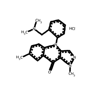 Cc1ccc2c(c1)c(=O)c1c(cnn1C)n2-c1ccccc1CN(C)C.Cl